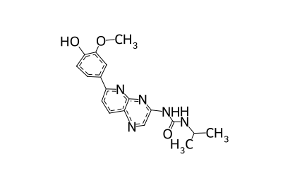 COc1cc(-c2ccc3ncc(NC(=O)NC(C)C)nc3n2)ccc1O